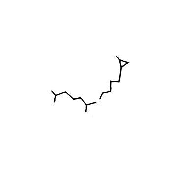 CC(C)CCCC(C)NCCCCC1CC1C